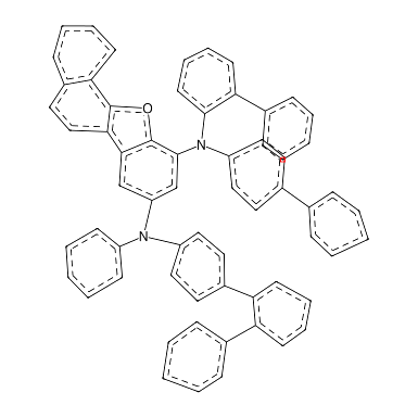 c1ccc(-c2ccc(N(c3ccccc3-c3ccccc3)c3cc(N(c4ccccc4)c4ccc(-c5ccccc5-c5ccccc5)cc4)cc4c3oc3c5ccccc5ccc43)cc2)cc1